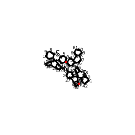 c1ccc2c(c1)Sc1ccccc1C21c2ccccc2-c2ccc(N(c3ccc4c(c3)C3(c5ccccc5Sc5ccccc53)c3ccccc3-4)c3ccc4c(ccc5ccccc54)c3)cc21